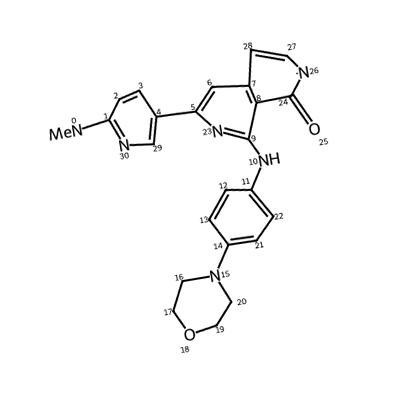 CNc1ccc(-c2cc3c(c(Nc4ccc(N5CCOCC5)cc4)n2)C(=O)[N]C=C3)cn1